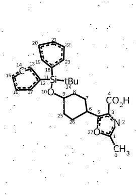 Cc1nc(C(=O)O)c(C2CCC(O[Si](c3ccccc3)(c3ccccc3)C(C)(C)C)CC2)o1